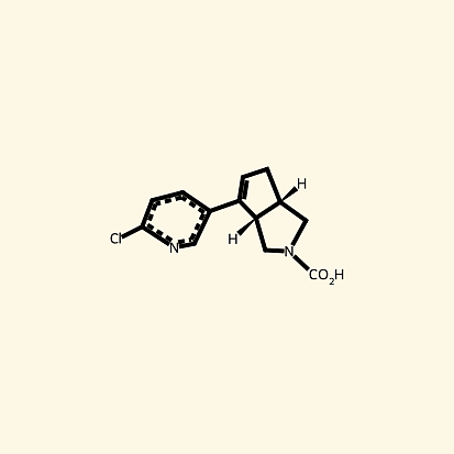 O=C(O)N1C[C@H]2CC=C(c3ccc(Cl)nc3)[C@H]2C1